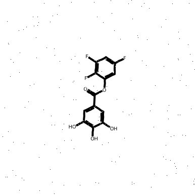 O=C(Oc1cc(F)cc(F)c1F)c1cc(O)c(O)c(O)c1